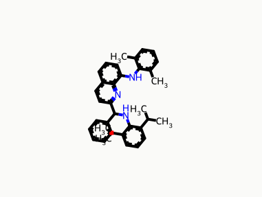 Cc1cccc(C)c1Nc1cccc2ccc(C(Nc3c(C(C)C)cccc3C(C)C)c3ccccc3)nc12